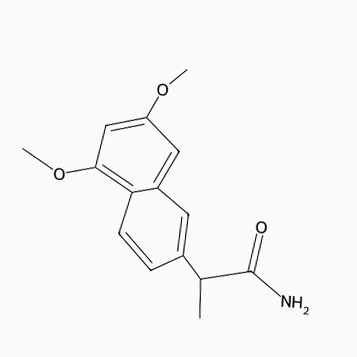 COc1cc(OC)c2ccc(C(C)C(N)=O)cc2c1